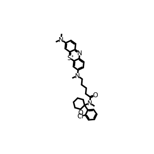 CN(C)c1ccc2nc3ccc(N(C)CCCCC(=O)N(C)C4(c5ccccc5Cl)CCCCC4=O)cc3[s+]c2c1